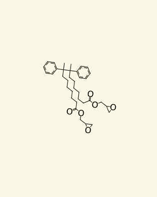 CC(CCCCCCC(=O)OCC1CO1)(c1ccccc1)C(C)(CCCCCCC(=O)OCC1CO1)c1ccccc1